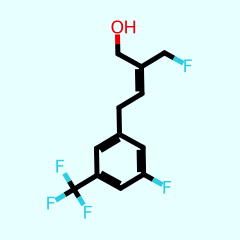 OC/C(=C\Cc1cc(F)cc(C(F)(F)F)c1)CF